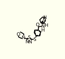 O=C(N[C@H]1CN2CCC1CC2)c1ccc(Sc2nnc(N3CCOCC3)s2)cc1